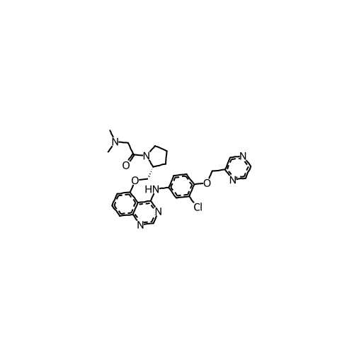 CN(C)CC(=O)N1CCC[C@@H]1COc1cccc2ncnc(Nc3ccc(OCc4cnccn4)c(Cl)c3)c12